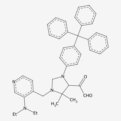 CCN(CC)c1cnccc1CN1CN(c2ccc(C(c3ccccc3)(c3ccccc3)c3ccccc3)cc2)C(C(=O)C=O)C1(C)C